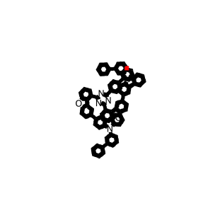 c1ccc(-c2ccc(-c3nc(-c4cccc5oc6ccc(-c7ccc8c(c7)c7ccccc7n8-c7cccc(-c8ccccc8)c7)cc6c45)nc(-c4cccc5oc6ccc(-c7ccc8c(c7)c7ccccc7n8-c7cccc(-c8ccccc8)c7)cc6c45)n3)cc2)cc1